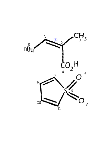 CCCC/C=C(/C)C(=O)O.O=S1(=O)C=CC=C1